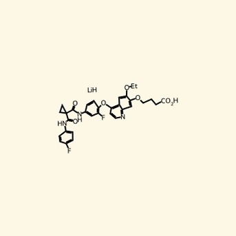 CCOc1cc2c(Oc3ccc(NC(=O)C4(C(=O)Nc5ccc(F)cc5)CC4)cc3F)ccnc2cc1OCCCC(=O)O.[LiH]